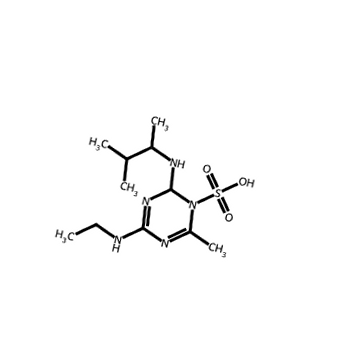 CCNC1=NC(NC(C)C(C)C)N(S(=O)(=O)O)C(C)=N1